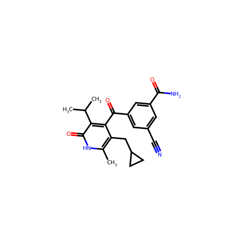 Cc1[nH]c(=O)c(C(C)C)c(C(=O)c2cc(C#N)cc(C(N)=O)c2)c1CC1CC1